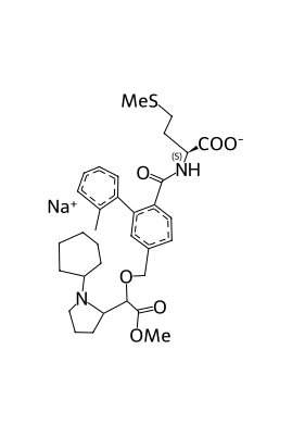 COC(=O)C(OCc1ccc(C(=O)N[C@@H](CCSC)C(=O)[O-])c(-c2ccccc2C)c1)C1CCCN1C1CCCCC1.[Na+]